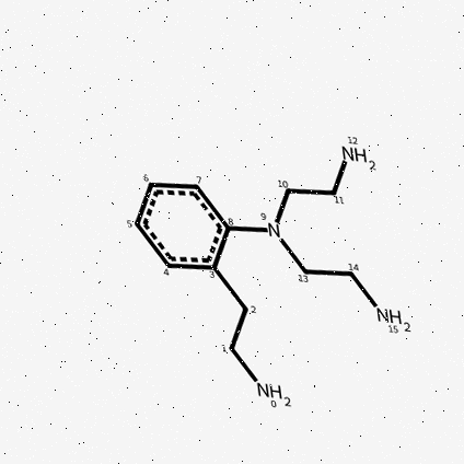 NCCc1ccccc1N(CCN)CCN